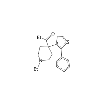 CCC(=O)C1(c2ccsc2-c2ccccc2)CCN(CC)CC1